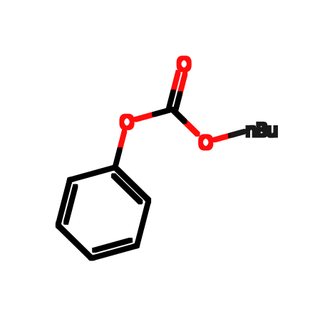 CCCCOC(=O)Oc1ccccc1